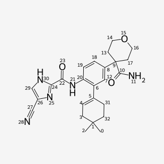 CC1(C)CC=C(c2cc(C3(C(N)=O)CCOCC3)ccc2NC(=O)c2nc(C#N)c[nH]2)CC1